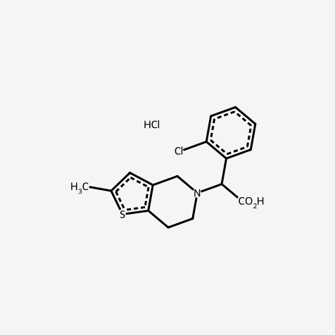 Cc1cc2c(s1)CCN(C(C(=O)O)c1ccccc1Cl)C2.Cl